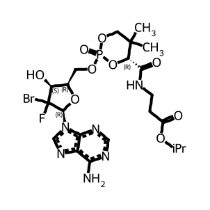 CC(C)OC(=O)CCNC(=O)[C@@H]1OP(=O)(OC[C@H]2O[C@@H](n3cnc4c(N)ncnc43)C(F)(Br)[C@H]2O)OCC1(C)C